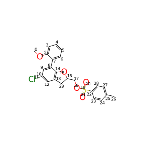 COc1ccccc1-c1cc(Cl)cc2c1OC(COS(=O)(=O)c1ccc(C)cc1)C2